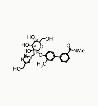 CNC(=O)c1cccc(-c2ccc(O[C@H]3OC(CO)[C@@H](O)[C@H](O)[C@@]3(O)Cn3cc(CO)nn3)c(C)c2)c1